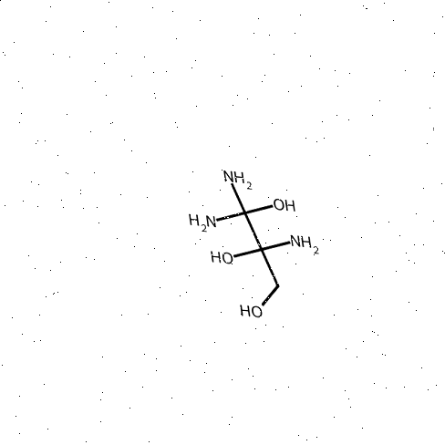 NC(N)(O)C(N)(O)CO